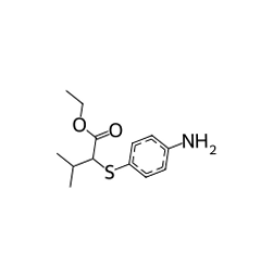 CCOC(=O)C(Sc1ccc(N)cc1)C(C)C